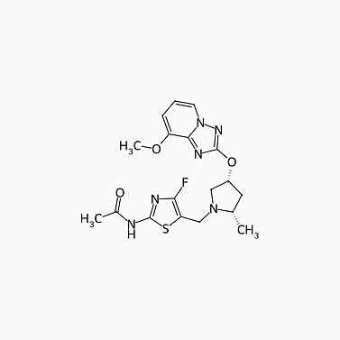 COc1cccn2nc(O[C@@H]3C[C@H](C)N(Cc4sc(NC(C)=O)nc4F)C3)nc12